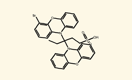 CCC(CCS(=O)(=O)O)(N1c2ccccc2Oc2ccccc21)N1c2ccccc2Oc2c(Br)cccc21